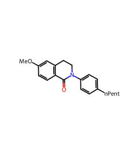 CCCCCc1ccc(N2CCc3cc(OC)ccc3C2=O)cc1